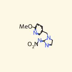 COc1ccc(CN2CC=NC2=N[N+](=O)[O-])cn1